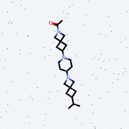 CC(=O)N1CC2(CC(N3CCC(N4CC5(CC(C(C)C)C5)C4)CC3)C2)C1